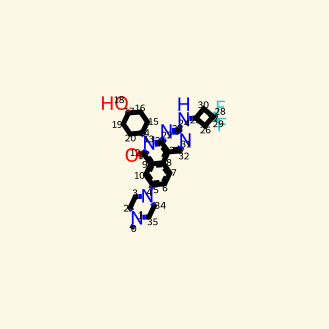 CN1CCN(c2ccc3c(c2)c(=O)n(C2CCC(O)CC2)c2nc(NC4CC(F)(F)C4)ncc32)CC1